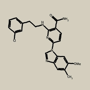 COc1cc2c(cc1C)ncn2-c1ccc(C(N)=O)c(NCCc2cccc(Cl)c2)n1